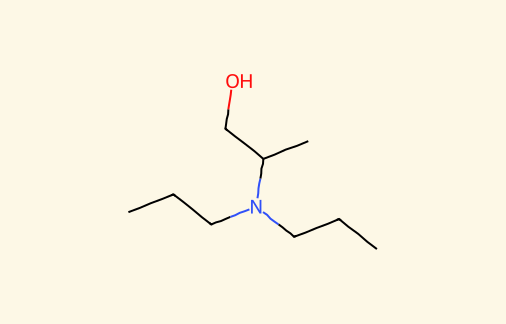 CCCN(CCC)C(C)CO